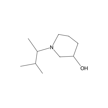 CC(C)C(C)N1CCCC(O)C1